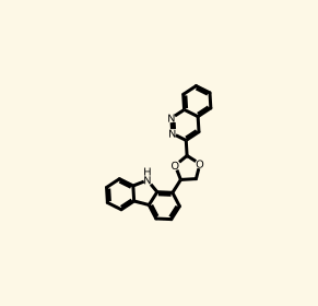 c1ccc2nnc([C]3OCC(c4cccc5c4[nH]c4ccccc45)O3)cc2c1